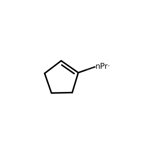 CC[CH]C1=CCCC1